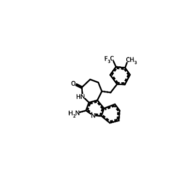 Cc1ccc(CC2CCC(=O)Nc3c(N)nc4ccccc4c32)cc1C(F)(F)F